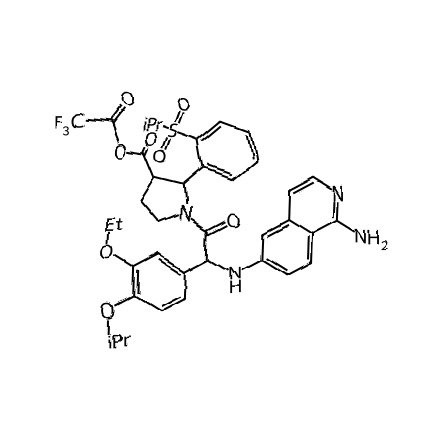 CCOc1cc(C(Nc2ccc3c(N)nccc3c2)C(=O)N2CCC(C(=O)OC(=O)C(F)(F)F)C2c2ccccc2S(=O)(=O)C(C)C)ccc1OC(C)C